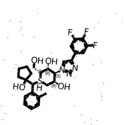 Cc1ccccc1C([SH]1C[C@H](O)[C@H](n2cc(-c3cc(F)c(F)c(F)c3)nn2)[C@@H](O)[C@H]1CO)C1(O)CCCC1